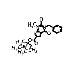 CCC(C)(OC(=O)c1cc2c(=O)n(Cc3ccccc3)c(=O)n(C)c2s1)N(C)C